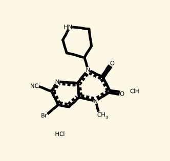 Cl.Cl.Cn1c(=O)c(=O)n(C2CCNCC2)c2nc(C#N)c(Br)cc21